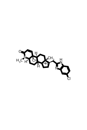 CN1C(=O)C=C[C@]2(C)[C@H]3CC[C@]4(C)[C@@H](Cc5nc6cc(Cl)ccc6[nH]5)CC[C@H]4[C@@H]3CC[C@@H]12